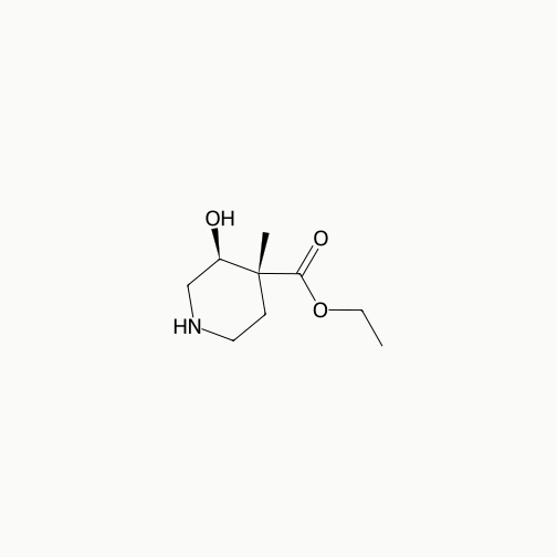 CCOC(=O)[C@]1(C)CCNC[C@H]1O